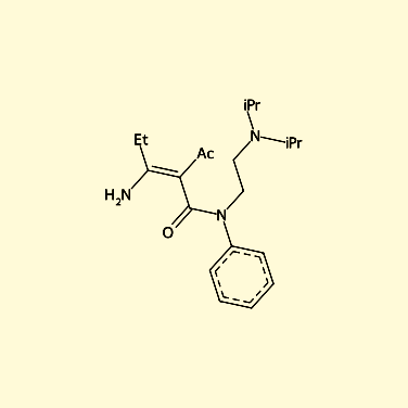 CC/C(N)=C(\C(C)=O)C(=O)N(CCN(C(C)C)C(C)C)c1ccccc1